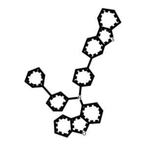 c1ccc(-c2cccc(N(c3ccc(-c4ccc5c(c4)sc4ccccc45)cc3)c3cccc4oc5ccccc5c34)c2)cc1